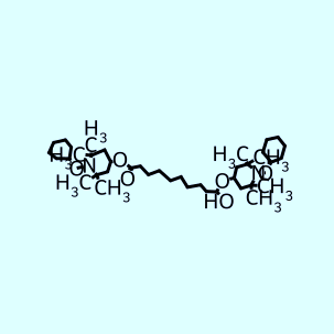 CC1(C)CC(OC(=O)CCCCCCCCC(O)OC2CC(C)(C)N(OC3CCCCC3)C(C)(C)C2)CC(C)(C)N1OC1CCCCC1